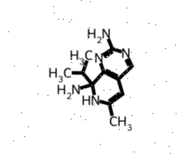 CC1=Cc2cnc(N)nc2C(N)(C(C)C)N1